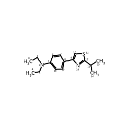 CCN(CC)c1ccc(-c2csc(C(C)C)n2)cc1